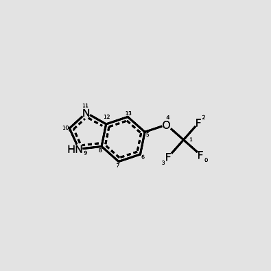 FC(F)(F)Oc1ccc2[nH][c]nc2c1